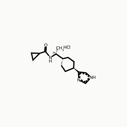 C[C@@H](NC(=O)C1CC1)[C@H]1CC[C@H](c2c[nH]cn2)CC1.Cl